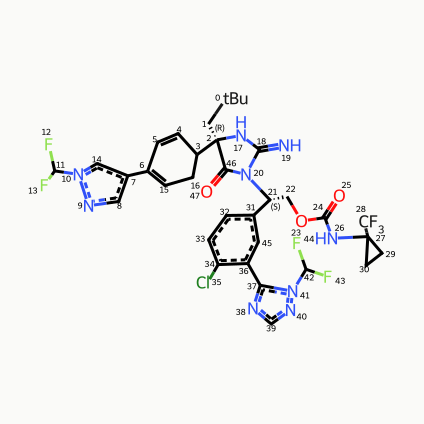 CC(C)(C)C[C@]1(C2C=CC(c3cnn(C(F)F)c3)=CC2)NC(=N)N([C@H](COC(=O)NC2(C(F)(F)F)CC2)c2ccc(Cl)c(-c3ncnn3C(F)F)c2)C1=O